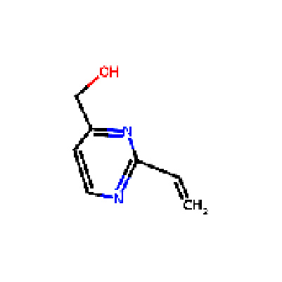 C=Cc1nccc(CO)n1